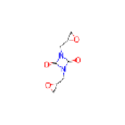 O=C1N(CC2CO2)C(=O)N1CC1CO1